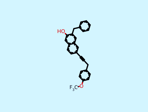 Oc1cc2ccc(C#CCc3ccc(OC(F)(F)F)cc3)cc2cc1Cc1ccccc1